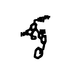 CC(C)CNCc1cc2c(c(-c3cc4cc(CN5CCCCC5)ccc4[nH]3)c1)C(=O)NC2